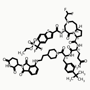 CCOP(=O)(O)C(F)(F)c1ccc2sc(C(=O)N[C@H]3CN(CC(F)F)CC[C@H]4CC[C@@H](C(=O)N[C@@H](CCC(N)=O)C(=O)N[C@@H](Cc5ccc(C(C)(C)C)cc5)C(=O)N5CCC(CCNc6cccc7c6C(=O)N(C6CCC(=O)NC6=O)C7=O)CC5)N4C3=O)cc2c1